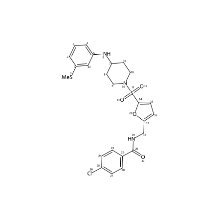 CSc1cccc(NC2CCN(S(=O)(=O)c3ccc(CNC(=O)c4ccc(Cl)cc4)o3)CC2)c1